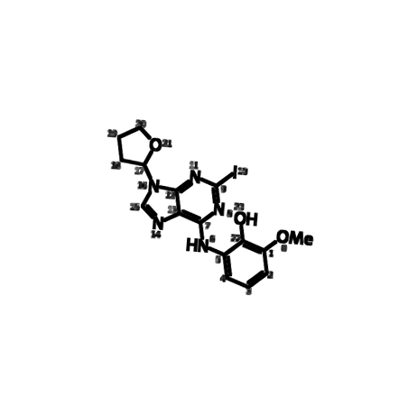 COc1cccc(Nc2nc(I)nc3c2ncn3C2CCCO2)c1O